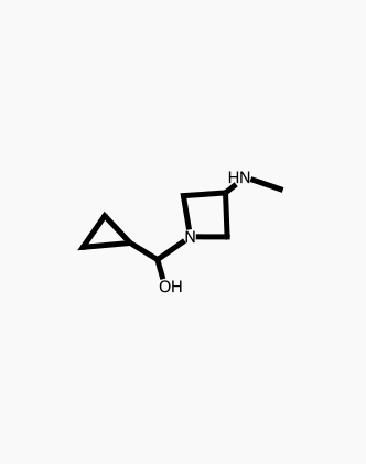 CNC1CN(C(O)C2CC2)C1